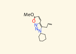 C=CCc1c(/C=C\C(=O)OC)nnn1C1CCCCC1